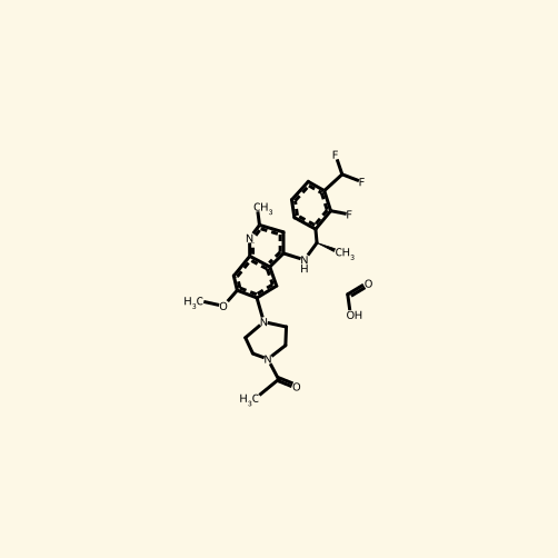 COc1cc2nc(C)cc(N[C@H](C)c3cccc(C(F)F)c3F)c2cc1N1CCN(C(C)=O)CC1.O=CO